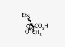 CCSCC[C@H]1OC(=O)N(C)[C@@H]1C(=O)O